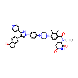 Cc1c(C(=O)N(C=O)C2CCC(=O)NC2=O)ccc(N2CCN(c3ccc(-n4cc(-c5ccc6c(c5)CCC6=O)c(-c5ccncc5)n4)cc3)CC2)c1C